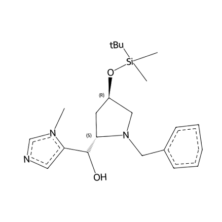 Cn1cncc1C(O)[C@@H]1C[C@@H](O[Si](C)(C)C(C)(C)C)CN1Cc1ccccc1